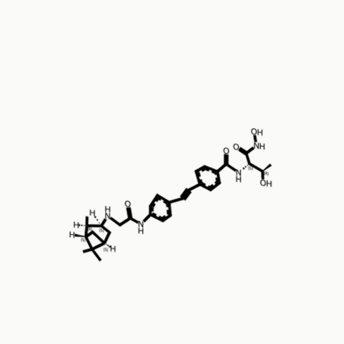 C[C@H]1[C@@H](NCC(=O)Nc2ccc(C#Cc3ccc(C(=O)N[C@H](C(=O)NO)[C@@H](C)O)cc3)cc2)C[C@@H]2C[C@@H]1C2(C)C